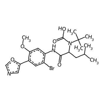 COc1cc(NC(=O)C(CC(C)C)N(C(=O)O)C(C)(C)C)c(Br)cc1-c1cnco1